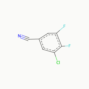 N#Cc1cc(F)c(F)c(Cl)c1